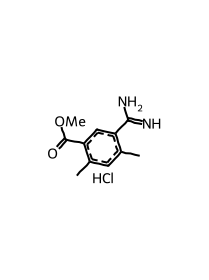 COC(=O)c1cc(C(=N)N)c(C)cc1C.Cl